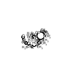 CC[C@H]1OC(=O)[C@H](C)C([C@H]2C[C@@](C)(OC)[C@@H](O)[C@H](C)O2)[C@H](C)[C@@H](O[C@@H]2O[C@H](C)C[C@H](N(C)CCc3cn([C@H](CF)[C@H](OC)c4ccc(S(=O)(=O)CC5CCOCC5)cc4)nn3)[C@H]2O)[C@](C)(O)C[C@@H](C)CN(C)[C@H](C)[C@@H](O)[C@]1(C)O